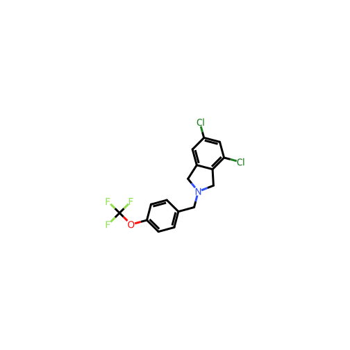 FC(F)(F)Oc1ccc(CN2Cc3cc(Cl)cc(Cl)c3C2)cc1